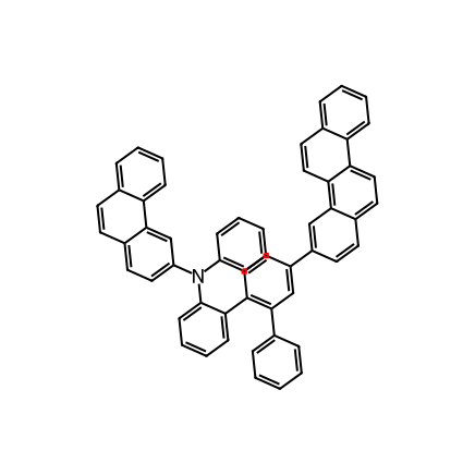 c1ccc(-c2cc(-c3ccc4ccc5c6ccccc6ccc5c4c3)ccc2-c2ccccc2N(c2ccccc2)c2ccc3ccc4ccccc4c3c2)cc1